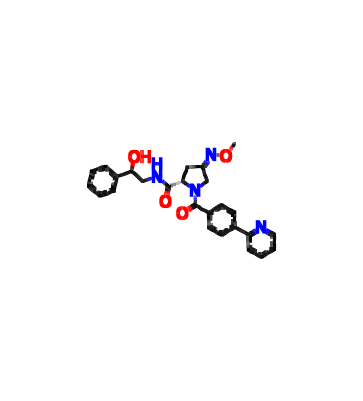 CON=C1C[C@@H](C(=O)NC[C@H](O)c2ccccc2)N(C(=O)c2ccc(-c3ccccn3)cc2)C1